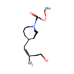 C/C(=C/C1CCN(C(=O)OC(C)(C)C)CC1)CO